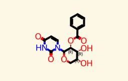 O=C(O[C@H]1C(n2ccc(=O)[nH]c2=O)OC[C@@H](O)[C@H]1O)c1ccccc1